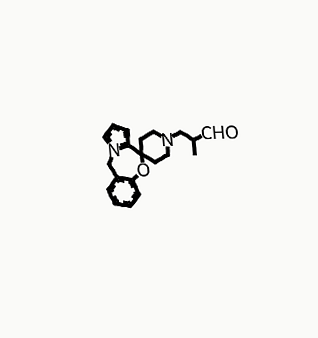 CC(C=O)CN1CCC2(CC1)Oc1ccccc1Cn1cccc12